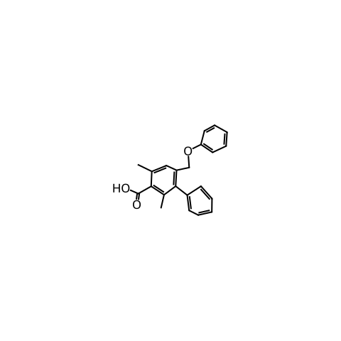 Cc1cc(COc2ccccc2)c(-c2ccccc2)c(C)c1C(=O)O